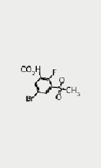 CS(=O)(=O)c1cc(Br)cc(C(=O)O)c1F